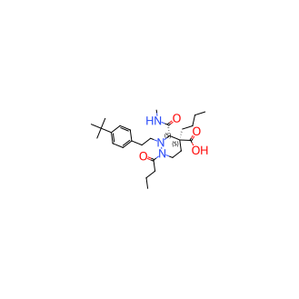 CCCC[C@]1(C(=O)O)CCN(C(=O)CCC)N(CCc2ccc(C(C)(C)C)cc2)[C@@H]1C(=O)NC